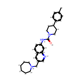 Cc1ccc(C2CCN(C(=O)Nc3ccc4cc(CN5CCCCCC5)cnc4c3)CC2)cc1